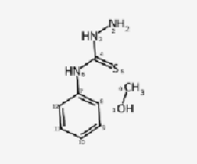 CO.NNC(=S)Nc1ccccc1